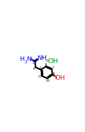 Cl.N=C(N)Cc1ccc(O)cc1